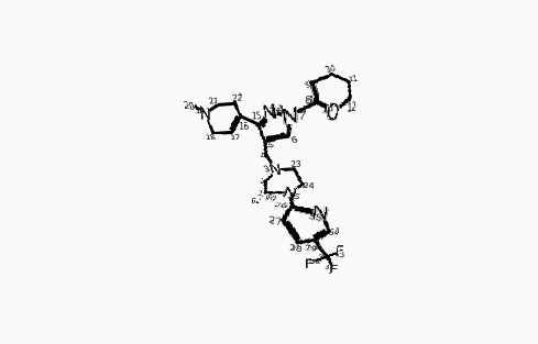 C[C@@H]1CN(Cc2cn(C3CCCCO3)nc2C2=CCN(C)CC2)CCN1c1ccc(C(F)(F)F)cn1